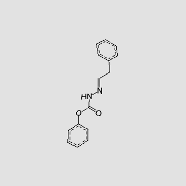 O=C(NN=CCc1ccccc1)Oc1ccccc1